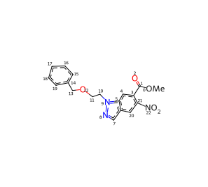 COC(=O)c1cc2c(cnn2CCOCc2ccccc2)cc1[N+](=O)[O-]